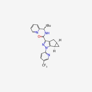 CC(C)(C)[C@@H](NC(=O)c1nn(-c2ccc(C(F)(F)F)cn2)c2c1C[C@H]1C[C@@H]21)c1ccccn1